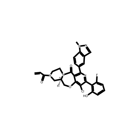 C=CC(=O)N1CCN2C(=O)c3c(-c4ccc5c(cnn5C)c4)nc(-c4c(O)cccc4F)c(Cl)c3OC[C@H]2C1